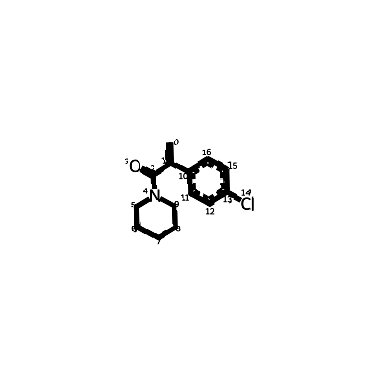 C=C(C(=O)N1CCCCC1)c1ccc(Cl)cc1